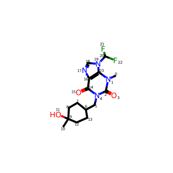 Cn1c(=O)n(CC2CCC(C)(O)CC2)c(=O)c2ncn(C(F)F)c21